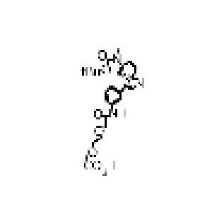 CN(C(=O)OC(C)(C)C)c1ccc2ncc(-c3cccc(NC(=O)COCCOCC(=O)O)c3)n2c1